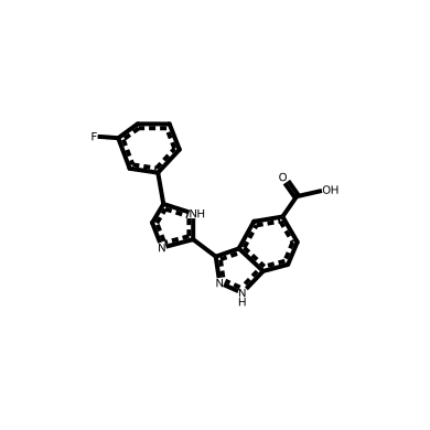 O=C(O)c1ccc2[nH]nc(-c3ncc(-c4cccc(F)c4)[nH]3)c2c1